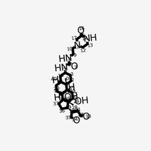 C[C@]12CC[C@H](NC(=O)NCCN3CCNC(=O)C3)C[C@H]1CC[C@@H]1[C@@H]2C[C@@H](O)[C@]2(C)[C@@H](C3=CC(=O)OC3)CC[C@]12O